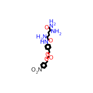 NC(=O)C(N)CC[C@H](N)C(=O)Nc1ccc(COC(=O)OCc2ccc([N+](=O)[O-])cc2)cc1